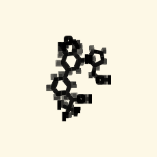 OC[C@@H]1CCCN1c1cc(-c2cccc(C(O)C(F)(F)F)c2)cc2nonc12